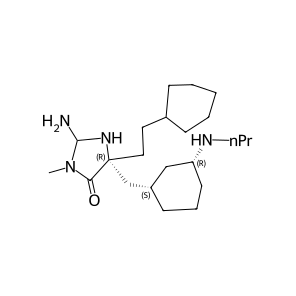 CCCN[C@@H]1CCC[C@H](C[C@@]2(CCC3CCCCC3)NC(N)N(C)C2=O)C1